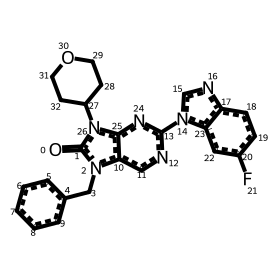 O=c1n(Cc2ccccc2)c2cnc(-n3cnc4ccc(F)cc43)nc2n1C1CCOCC1